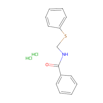 Cl.Cl.O=C(NCSc1ccccc1)c1ccccc1